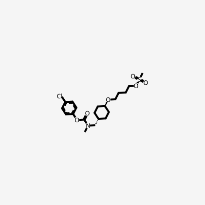 CN(C[C@H]1CC[C@H](OCCCCOS(C)(=O)=O)CC1)C(=O)Oc1ccc(Cl)cc1